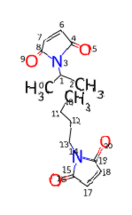 CC(C)N1C(=O)C=CC1=O.CCCCN1C(=O)C=CC1=O